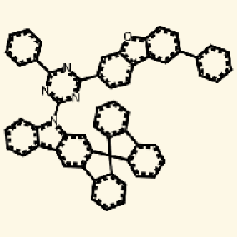 c1ccc(-c2ccc3oc4cc(-c5nc(-c6ccccc6)nc(-n6c7ccccc7c7cc8c(cc76)C6(c7ccccc7-c7ccccc76)c6ccccc6-8)n5)ccc4c3c2)cc1